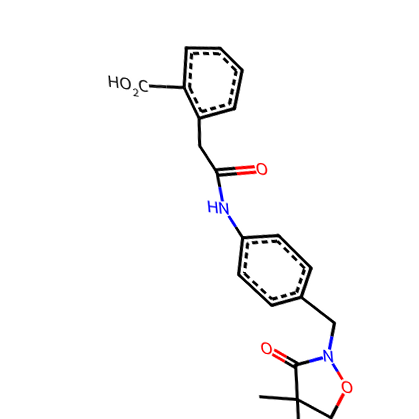 CC1(C)CON(Cc2ccc(NC(=O)Cc3ccccc3C(=O)O)cc2)C1=O